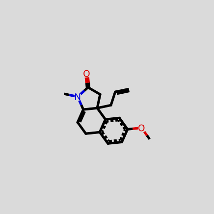 C=CCC12CC(=O)N(C)C1=CCc1ccc(OC)cc12